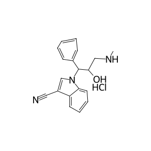 CNCC(O)C(c1ccccc1)n1cc(C#N)c2ccccc21.Cl